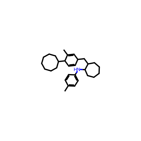 CC1=CC(CC2CCCCCC2Nc2ccc(C)cc2)C=CC1C1CCCCCCC1